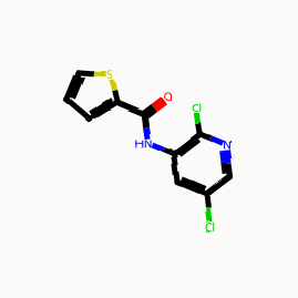 O=C(Nc1cc(Cl)cnc1Cl)c1cccs1